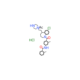 CC(=O)[N+]1(CCC2CCCN(C(=O)c3ccc(NC(=O)c4ccccc4C)cc3C)c3ccc(Cl)cc32)CCNCC1.Cl